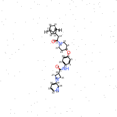 O=C(Nc1ccc(OC2CCN(C(=O)CC3C[C@H]4CC[C@H]3C4)CC2)cc1)C1CN(c2cccnc2)C1